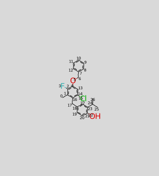 Cc1c(F)c(OCc2ccccc2)cc(Cl)c1Cc1ccc(O)c(C(C)C)c1